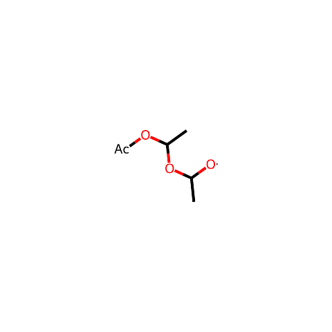 CC(=O)OC(C)OC(C)[O]